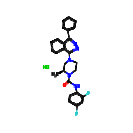 C[C@H]1CN(c2nnc(-c3ccccc3)c3ccccc23)CCN1C(=O)Nc1ccc(F)cc1F.Cl